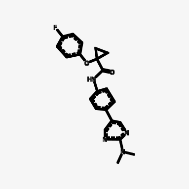 CN(C)c1ncc(-c2ccc(NC(=O)C3(Oc4ccc(F)cc4)CC3)cc2)cn1